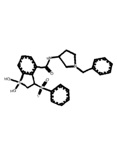 O=C(NC1CCN(Cc2ccccc2)C1)c1cccc2c1C(S(=O)(=O)c1ccccc1)CS2(O)O